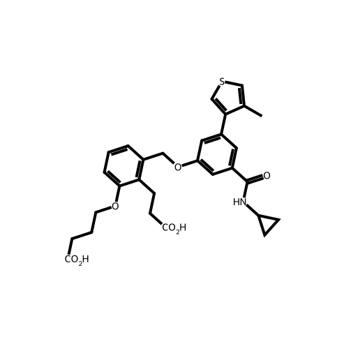 Cc1cscc1-c1cc(OCc2cccc(OCCCC(=O)O)c2CCC(=O)O)cc(C(=O)NC2CC2)c1